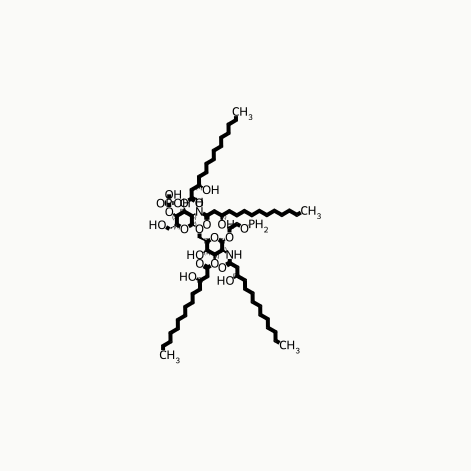 CCCCCCCCCCC[C@@H](O)CC(=O)N[C@@H]1[C@H](OC[C@H]2O[C@H](OCCOP)[C@@H](NC(=O)C[C@H](O)CCCCCCCCCCC)[C@@H](OC(=O)C[C@H](O)CCCCCCCCCCC)[C@@H]2O)O[C@H](CO)[C@@H](OP(=O)(O)O)[C@@H]1OC(=O)C[C@H](O)CCCCCCCCCCC